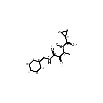 CC(C(=O)C(=O)NCC1CCCCC1)N(C)C(=O)C1CC1